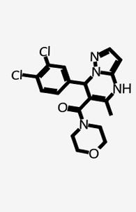 CC1=C(C(=O)N2CCOCC2)C(c2ccc(Cl)c(Cl)c2)n2nccc2N1